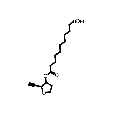 C#CC1OCCC1OC(=O)CCCCCCCCCCCCCCCCCCC